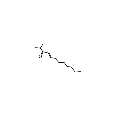 CCCCCCCC=CC(=O)[C](C)C